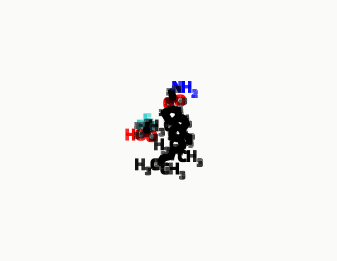 CC(C)CCC[C@@H](C)[C@H]1CCC2C3CC=C4C[C@@H](OC(=O)CN)CC[C@]4(C)C3CC[C@@]21C.O=C(O)C(F)(F)F